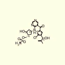 C=C(C)[C@H](O)c1cc(C(=O)c2cncnc2N[C@@H]2C[C@H](COS(N)(=O)=O)[C@@H](O)C2)sc1Cl